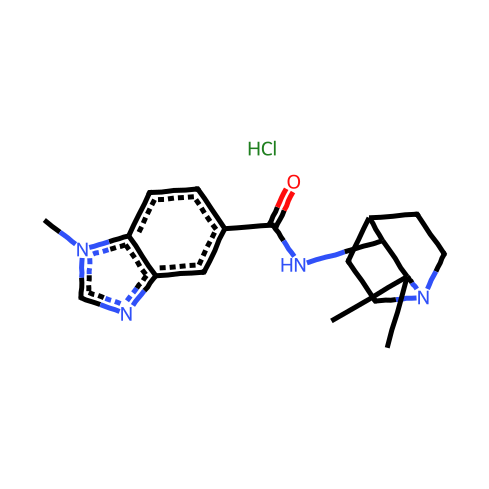 Cl.Cn1cnc2cc(C(=O)NC3C4CCN(CC4)C3(C)C)ccc21